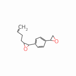 C=CCCC1OC1c1ccc(C2CO2)cc1